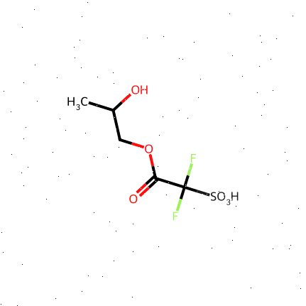 CC(O)COC(=O)C(F)(F)S(=O)(=O)O